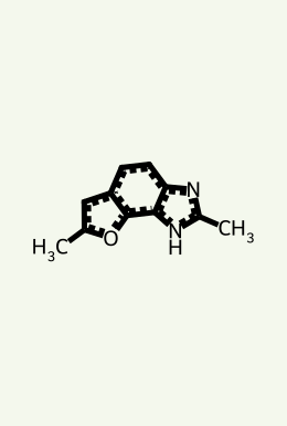 Cc1nc2ccc3cc(C)oc3c2[nH]1